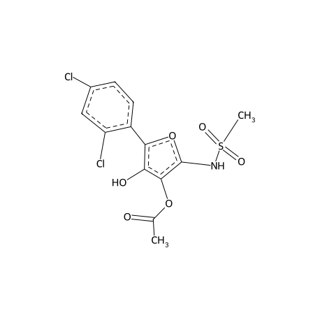 CC(=O)Oc1c(NS(C)(=O)=O)oc(-c2ccc(Cl)cc2Cl)c1O